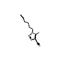 CCCCCCn1nnc(C#N)c1C